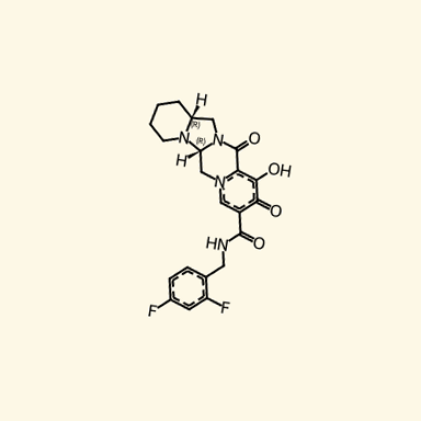 O=C(NCc1ccc(F)cc1F)c1cn2c(c(O)c1=O)C(=O)N1C[C@H]3CCCCN3[C@H]1C2